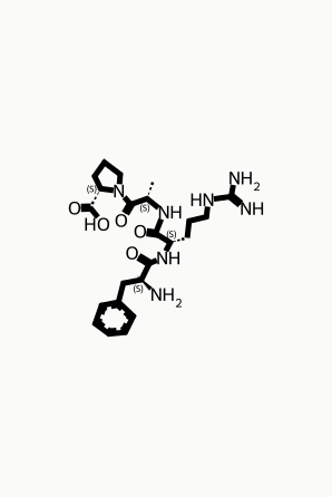 C[C@H](NC(=O)[C@H](CCCNC(=N)N)NC(=O)[C@@H](N)Cc1ccccc1)C(=O)N1CCC[C@H]1C(=O)O